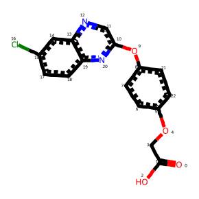 O=C(O)COc1ccc(Oc2cnc3cc(Cl)ccc3n2)cc1